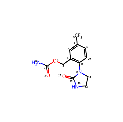 NC(=O)OCc1cc(C(F)(F)F)ccc1N1CCNC1=O